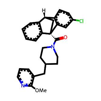 COc1ncccc1CC1CCN(C(=O)[C@@]23C[C@H](c4ccccc42)c2ccc(Cl)cc23)CC1